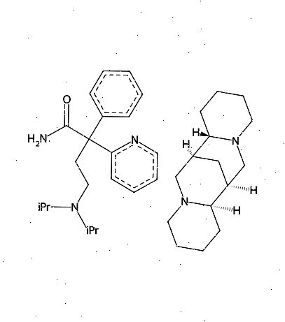 C1CCN2C[C@@H]3C[C@@H](CN4CCCC[C@@H]34)[C@H]2C1.CC(C)N(CCC(C(N)=O)(c1ccccc1)c1ccccn1)C(C)C